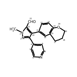 Cn1nc(-c2ccncc2)c(-c2ccc3c(c2)CCCO3)c1C=O